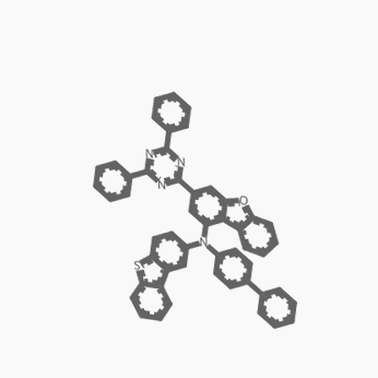 c1ccc(-c2ccc(N(c3ccc4sc5ccccc5c4c3)c3cc(-c4nc(-c5ccccc5)nc(-c5ccccc5)n4)cc4oc5ccccc5c34)cc2)cc1